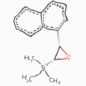 C[Si](C)(C)[C@H]1O[C@H]1c1cccc2ccccc12